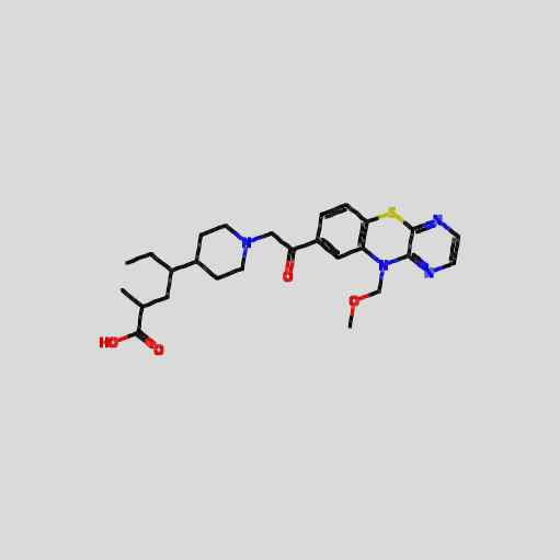 CCC(CC(C)C(=O)O)C1CCN(CC(=O)c2ccc3c(c2)N(COC)c2nccnc2S3)CC1